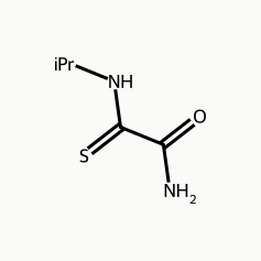 CC(C)NC(=S)C(N)=O